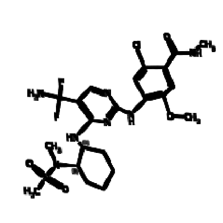 CNC(=O)c1cc(OC)c(Nc2ncc(C(N)(F)F)c(N[C@@H]3CCCC[C@H]3N(C)S(C)(=O)=O)n2)cc1Cl